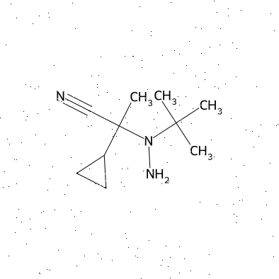 CC(C)(C)N(N)C(C)(C#N)C1CC1